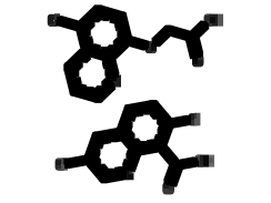 O=C(O)COc1ccc(Cl)c2cccnc12.O=C(O)c1c(Cl)ccc2cc(Cl)cnc12